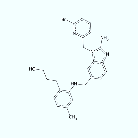 Cc1ccc(CCCO)c(NCc2ccc3nc(N)n(Cc4cccc(Br)n4)c3c2)c1